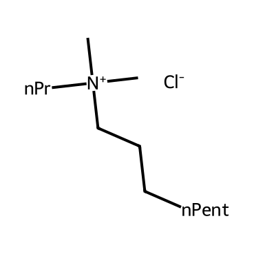 CCCCCCCC[N+](C)(C)CCC.[Cl-]